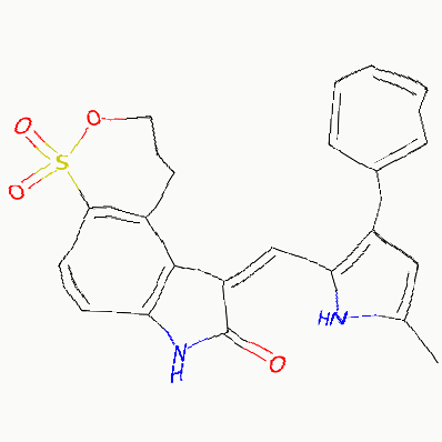 Cc1cc(-c2ccccc2)c(/C=C2\C(=O)Nc3ccc4c(c32)CCOS4(=O)=O)[nH]1